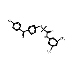 CC(C)(Oc1ccc(C(=O)c2ccc(Cl)cc2)cc1)C(=O)Nc1cc(C(F)(F)F)cc(C(F)(F)F)c1